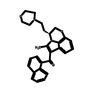 Cc1c(C(=O)c2cccc3ccccc23)c2cccc3c2n1[C@H](CCN1CCOCC1)CO3